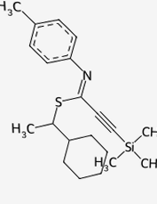 Cc1ccc(N=C(C#C[Si](C)(C)C)SC(C)C2CCCCC2)cc1